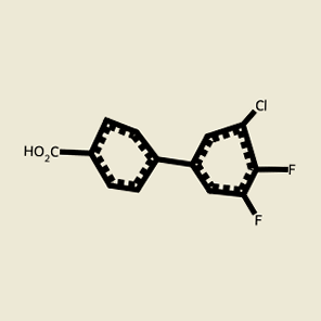 O=C(O)c1ccc(-c2cc(F)c(F)c(Cl)c2)cc1